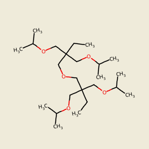 CCC(COCC(CC)(COC(C)C)COC(C)C)(COC(C)C)COC(C)C